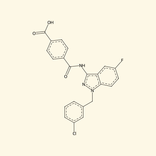 O=C(O)c1ccc(C(=O)Nc2nn(Cc3cccc(Cl)c3)c3ccc(F)cc23)cc1